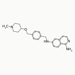 CN1CCC(OCc2ccc(CNc3ccc4c(N)nccc4c3)cc2)CC1